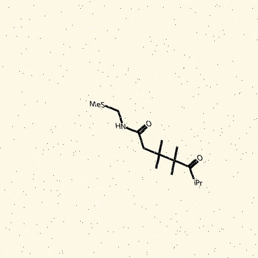 CSCNC(=O)CC(C)(C)C(C)(C)C(=O)C(C)C